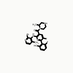 Cc1ccnc(C(C)C)c1Nc1nc(-c2c(O)cccc2F)c(F)cc1C(=O)N1CCNCC1C